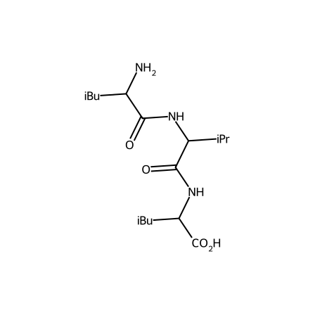 CCC(C)C(N)C(=O)NC(C(=O)NC(C(=O)O)C(C)CC)C(C)C